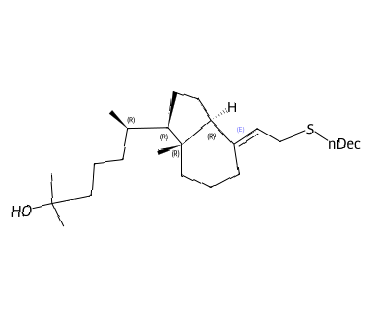 CCCCCCCCCCSC/C=C1\CCC[C@]2(C)[C@@H]([C@H](C)CCCC(C)(C)O)CC[C@@H]12